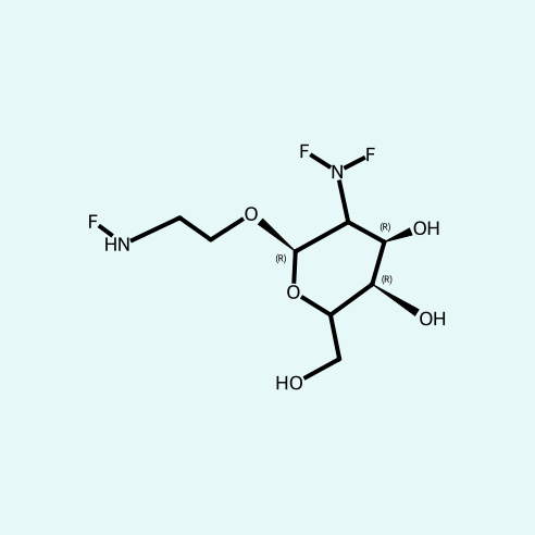 OCC1O[C@@H](OCCNF)C(N(F)F)[C@@H](O)[C@H]1O